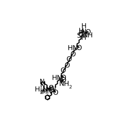 NC(=O)C(CCCCNC(=O)C(Cc1ccccc1)NC(=O)C(N)Cc1cnc[nH]1)NC(=O)CCOCCOCCOCCOCCNC(=O)CCCCC1SC[C@@H]2NC(=O)N[C@H]12